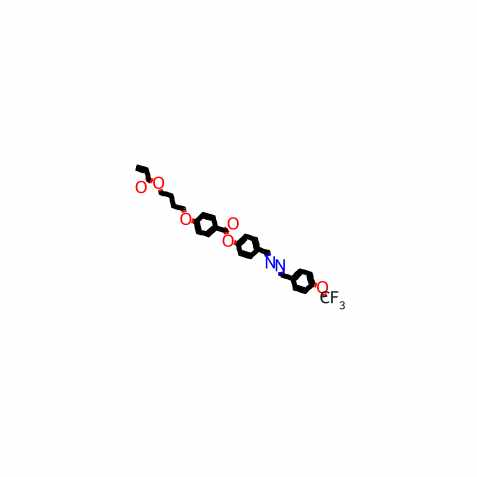 C=CC(=O)OCCCCOc1ccc(C(=O)Oc2ccc(/C=N/N=C/c3ccc(OC(F)(F)F)cc3)cc2)cc1